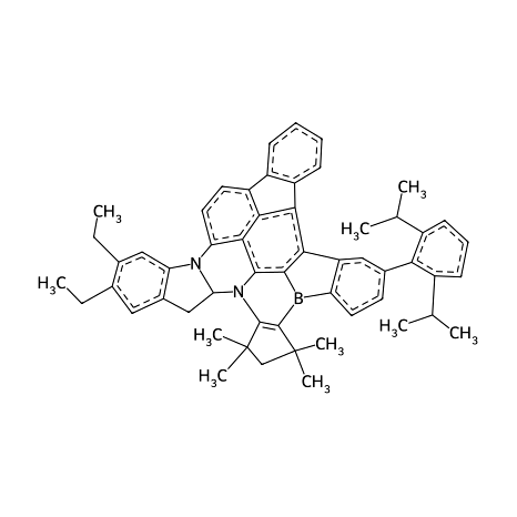 CCc1cc2c(cc1CC)N1c3ccc4c5c(c6c7c(c35)N(C3=C(B7c5ccc(-c7c(C(C)C)cccc7C(C)C)cc5-6)C(C)(C)CC3(C)C)C1C2)-c1ccccc1-4